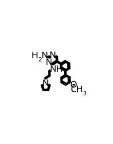 COc1cccc(-c2cccc(-c3cnc(N)nc3NCCCN3CCCC3)c2)c1